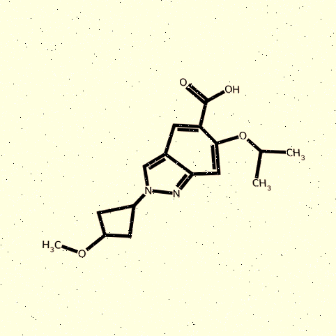 COC1CC(n2cc3cc(C(=O)O)c(OC(C)C)cc3n2)C1